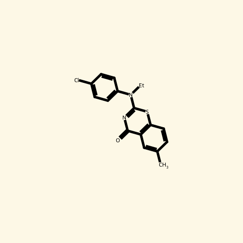 CCN(c1ccc(Cl)cc1)c1nc(=O)c2cc(C)ccc2s1